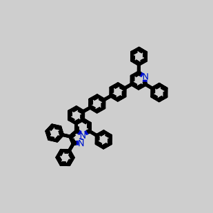 c1ccc(-c2cc(-c3ccc(-c4ccc(-c5cccc6c5cc(-c5ccccc5)n5nc(-c7ccccc7)c(-c7ccccc7)c65)cc4)cc3)cc(-c3ccccc3)n2)cc1